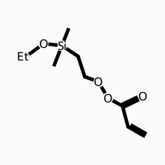 C=CC(=O)OOCC[Si](C)(C)OCC